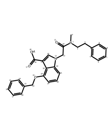 CN(CCc1ccccc1)C(=O)Cn1cc(C(=O)O)c2c(OCc3ccccc3)cccc21